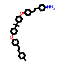 Cc1ccc(/C=C/c2ccc(Oc3ccc(C(C)(C)c4ccc(Oc5ccc(/C=C/c6ccc(N)cc6)cc5)cc4)cc3)cc2)cc1